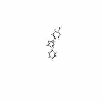 Fc1ccc(-n2cc(-c3cccnc3)cn2)cc1